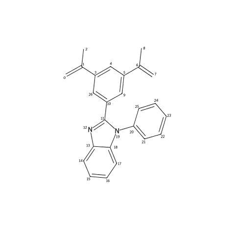 C=C(C)c1cc(C(=C)C)cc(-c2nc3ccccc3n2-c2ccccc2)c1